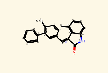 COc1ccc(/C=C2/C(=O)Nc3cccc(C)c32)cc1-c1ccccc1